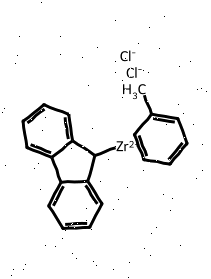 Cc1ccccc1.[Cl-].[Cl-].[Zr+2][CH]1c2ccccc2-c2ccccc21